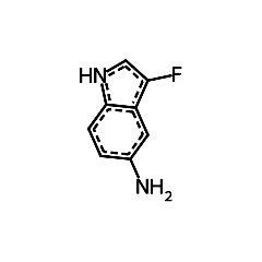 Nc1ccc2[nH]cc(F)c2c1